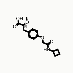 CO[C@@H](Cc1ccc(OCC(=O)NC2CCC2)cc1)C(=O)O